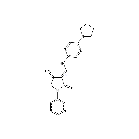 N=C1CN(c2cccnc2)C(=O)/C1=C/Nc1cnc(N2CCCC2)cn1